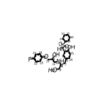 O=S(=O)(Nc1cc(C[C@@H](CO)NC[C@H](O)COc2ccc(F)cc2)ccc1O)c1ccccc1